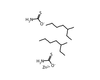 CCCCC(C)CC.CCCCC(C)CC.NC([O-])=S.NC([O-])=S.[Zn+2]